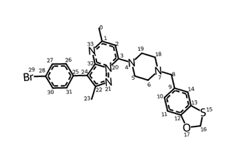 Cc1cc(N2CCN(Cc3ccc4c(c3)SCO4)CC2)n2nc(C)c(-c3ccc(Br)cc3)c2n1